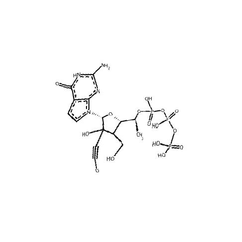 C[C@H](OP(=O)(O)OP(=O)(O)OP(=O)(O)O)[C@H]1O[C@@H](n2ccc3c(=O)[nH]c(N)nc32)C(O)(C#CCl)C1CO